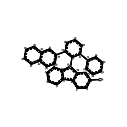 Clc1ccc2c3ccccc3n(-c3c(-c4ccccc4)cccc3-c3ccc4ccccc4c3)c2c1